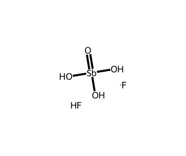 F.[F].[O]=[Sb]([OH])([OH])[OH]